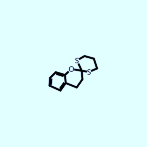 c1ccc2c(c1)CCC1(O2)SCCCS1